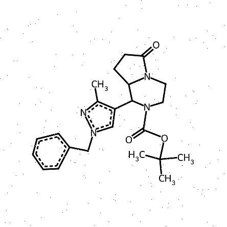 Cc1nn(Cc2ccccc2)cc1C1C2CCC(=O)N2CCN1C(=O)OC(C)(C)C